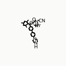 Cc1cc(C)c([C@@H](O[C@@H](CC(C)C)C(=O)NCC#N)c2ccc(-c3ccc(N4CCNCC4)cc3)cc2)c(C)c1